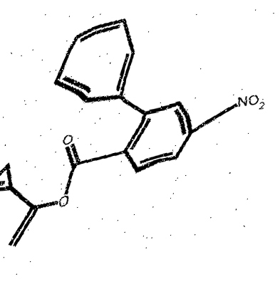 C=C(OC(=O)c1ccc([N+](=O)[O-])cc1-c1ccccc1)C1=CC1